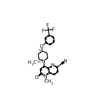 C[C@@H]1C[C@@H](Oc2cccc(C(F)(F)F)c2)CCN1c1cc(=O)n(C)c2ccc(C#N)nc12